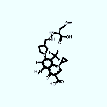 CSCC[C@H](NNCC1CCN(c2c(F)c(N)c3c(=O)c(C(=O)O)cn(C4CC4)c3c2C(F)(F)F)C1)C(=O)O